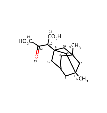 CC12CC3CC(C)(C1)CC(C(C(=O)O)C(=O)C(=O)O)(C3)C2